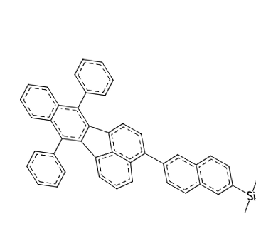 C[Si](C)(C)c1ccc2cc(-c3ccc4c5c(cccc35)-c3c-4c(-c4ccccc4)c4ccccc4c3-c3ccccc3)ccc2c1